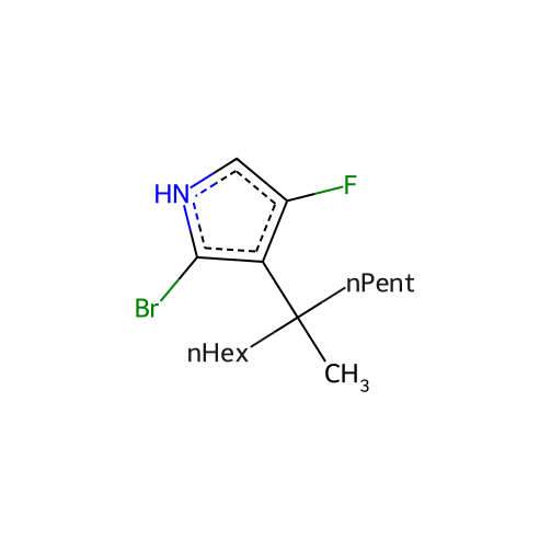 CCCCCCC(C)(CCCCC)c1c(F)c[nH]c1Br